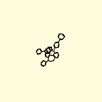 c1ccc(-c2ccc(N(c3ccc(-c4ccccc4)cc3)c3cccc4c3-c3c(ccc5ccccc35)C(c3ccccc3)CC4)cc2)cc1